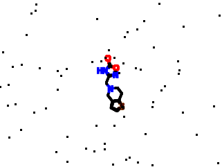 O=c1[nH]c(CN2CCc3sccc3C2)no1